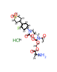 CC(=O)N(C[C@H]1CN(c2ccc(C3CCS(=O)(=O)CC3)c(F)c2)C(=O)O1)C(=O)OCOC(=O)[C@H](C)N.Cl